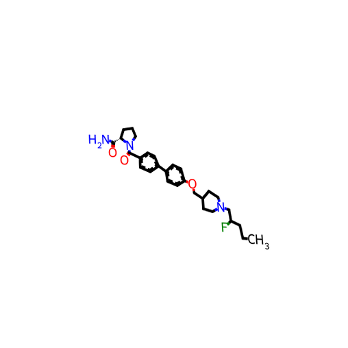 CCCC(F)CN1CCC(COc2ccc(-c3ccc(C(=O)N4CCC[C@H]4C(N)=O)cc3)cc2)CC1